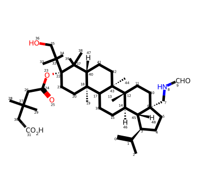 C=C(C)[C@@H]1CC[C@]2(CNC=O)CC[C@]3(C)[C@H](CCC4[C@@]5(C)CC[C@@](OC(=O)CC(C)(C)CC(=O)O)(C(C)(C)CO)C(C)(C)[C@@H]5CC[C@]43C)[C@@H]12